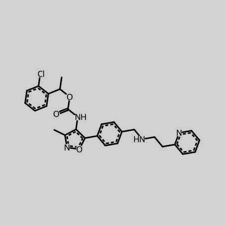 Cc1noc(-c2ccc(CNCCc3ccccn3)cc2)c1NC(=O)OC(C)c1ccccc1Cl